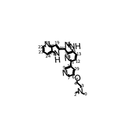 CN(C)CCOc1cncc(-c2ccc3[nH]nc(-c4cc5ncccc5[nH]4)c3n2)c1